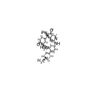 Cc1cc(Nc2ncc3c(=O)n(C(C)C)n(-c4ccc(=O)n(C(C)(C)C)c4)c3n2)ccc1C1CCN(C)CC1